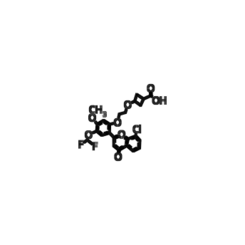 COc1cc(OCCOC2CC(C(=O)O)C2)c(-c2cc(=O)c3cccc(Cl)c3o2)cc1OC(F)F